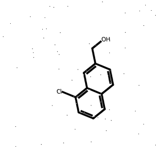 OCc1ccc2cccc(Cl)c2c1